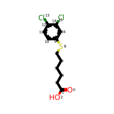 O=C(O)CCCCCSc1ccc(Cl)c(Cl)c1